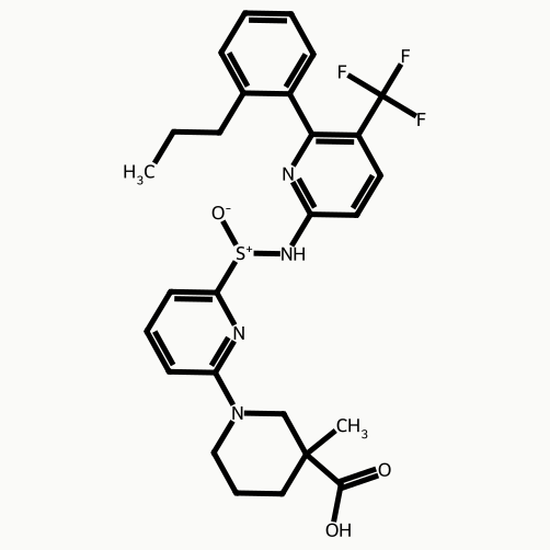 CCCc1ccccc1-c1nc(N[S+]([O-])c2cccc(N3CCCC(C)(C(=O)O)C3)n2)ccc1C(F)(F)F